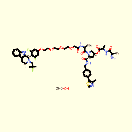 Cc1ncsc1-c1ccc(CNC(=O)[C@@H]2C[C@@H](OC(=O)C(C)NC(=O)C(N)C(C)C)CN2C(=O)C(NC(=O)COCCOCCOCCOc2cc(F)c([C@@H]3c4[nH]c5ccccc5c4C[C@@H](C)N3CC(C)(C)F)c(F)c2)C(C)(C)C)cc1.O=CO